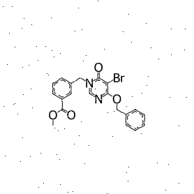 COC(=O)c1cccc(Cn2cnc(OCc3ccccc3)c(Br)c2=O)c1